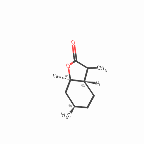 CC1C(=O)O[C@@H]2C[C@H](C)CC[C@@H]12